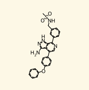 CS(=O)(=O)NCc1cccc(-c2ncc(-c3ccc(Oc4ccccc4)cc3)c3c(N)n[nH]c23)c1